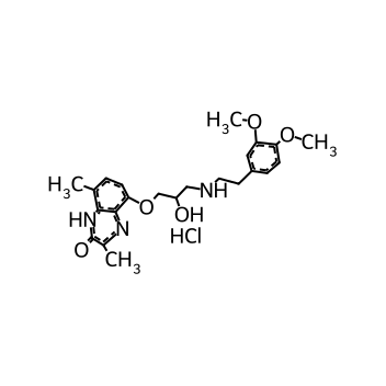 COc1ccc(CCNCC(O)COc2ccc(C)c3[nH]c(=O)c(C)nc23)cc1OC.Cl